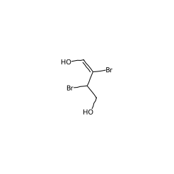 O/C=C(/Br)C(Br)CO